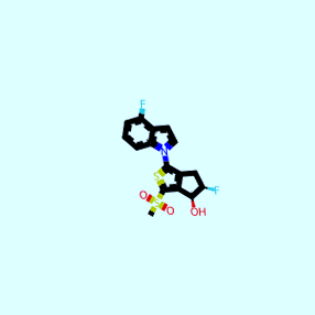 CS(=O)(=O)c1sc(-n2ccc3c(F)cccc32)c2c1[C@H](O)[C@H](F)C2